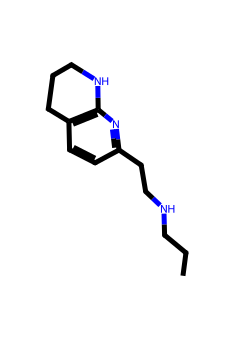 CCCNCCc1ccc2c(n1)NCCC2